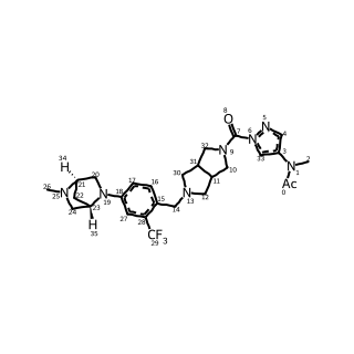 CC(=O)N(C)c1cnn(C(=O)N2CC3CN(Cc4ccc(N5C[C@H]6C[C@H]5CN6C)cc4C(F)(F)F)CC3C2)c1